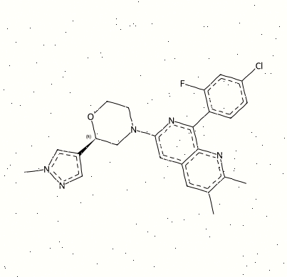 Cc1cc2cc(N3CCO[C@H](c4cnn(C)c4)C3)nc(-c3ccc(Cl)cc3F)c2nc1C